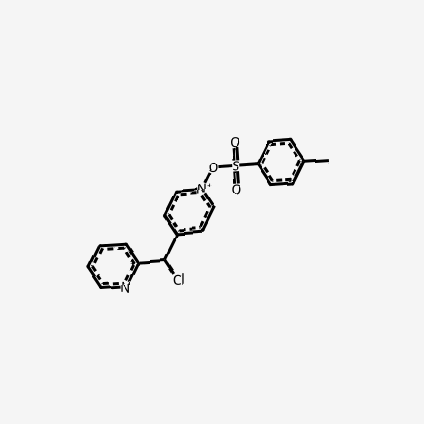 Cc1ccc(S(=O)(=O)O[n+]2ccc(C(Cl)c3ccccn3)cc2)cc1